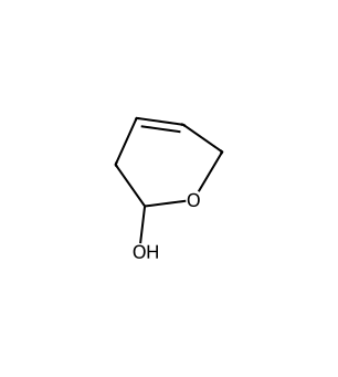 OC1CC=CCO1